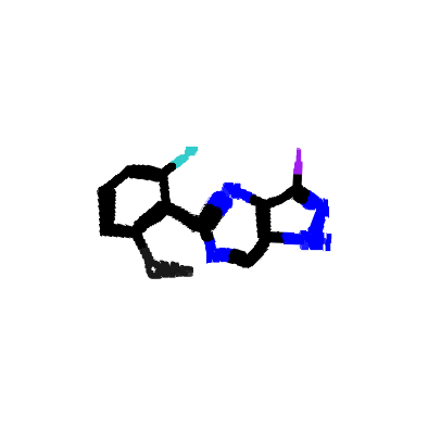 COc1cccc(F)c1-c1ncc2[nH]nc(I)c2n1